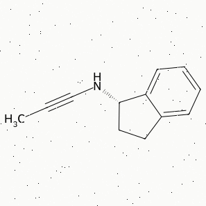 CC#CN[C@H]1CCc2ccccc21